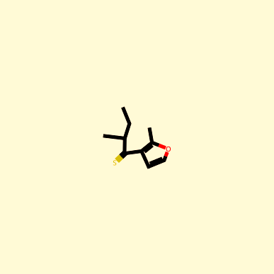 CCC(C)C(=S)c1ccoc1C